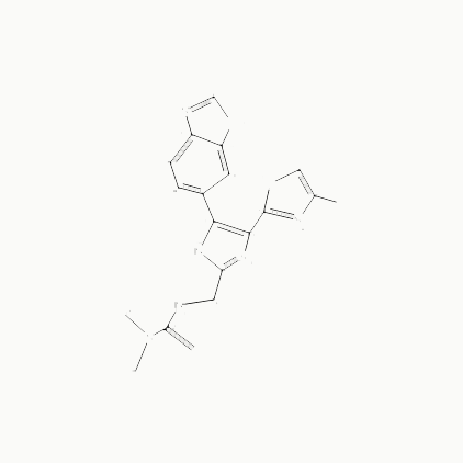 Cc1csc(-c2nc(CNC(=O)N(C)C)[nH]c2-c2ccc3ncsc3c2)n1